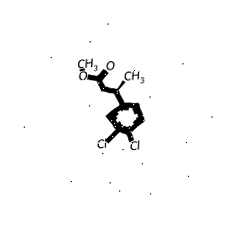 COC(=O)C[C@@H](C)c1ccc(Cl)c(Cl)c1